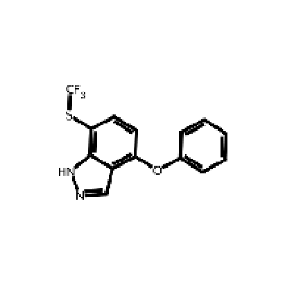 FC(F)(F)Sc1ccc(Oc2ccccc2)c2cn[nH]c12